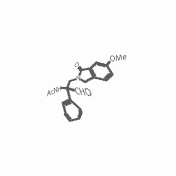 COc1ccc2c(c1)C(=O)N(CC(C=O)(NC(C)=O)c1ccccc1)C2